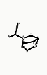 CC(C)N1CC2CCC1CO2